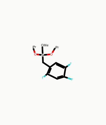 CO[Si](Cc1cc(F)c(F)cc1F)(OC(C)C)OC(C)C